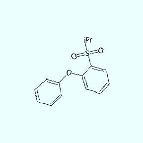 CC(C)S(=O)(=O)c1ccccc1Oc1ccccc1